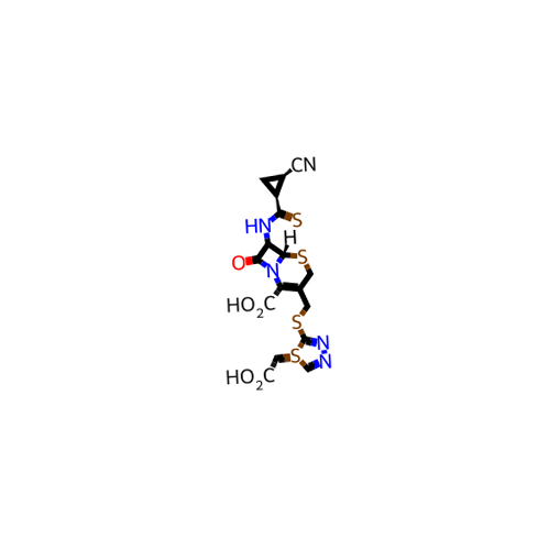 N#C[C@@H]1C[C@@H]1C(=S)NC1C(=O)N2C(C(=O)O)=C(CSC3=NN=CS3=CC(=O)O)CS[C@@H]12